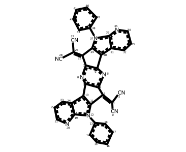 N#CC(C#N)=C1c2nc3c(nc2-c2c1n(-c1ccccc1)c1ncccc21)C(=C(C#N)C#N)c1c-3c2cccnc2n1-c1ccccc1